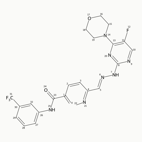 C=C(\C=C/C(/C=N/Nc1ncc(F)c(N2CCOCC2)n1)=N\C)C(=O)Nc1cccc(C(F)(F)F)c1